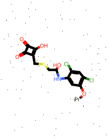 CC(C)Oc1cc(NC(O)CSCc2c(O)c(=O)c2=O)c(Cl)cc1Cl